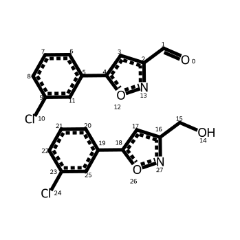 O=Cc1cc(-c2cccc(Cl)c2)on1.OCc1cc(-c2cccc(Cl)c2)on1